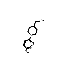 CC(C)CC1CCN(c2ccc(C(C)C)nn2)CC1